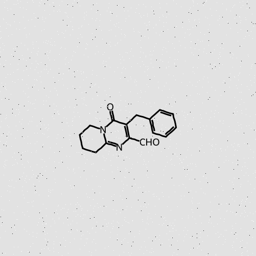 O=Cc1nc2n(c(=O)c1Cc1ccccc1)CCCC2